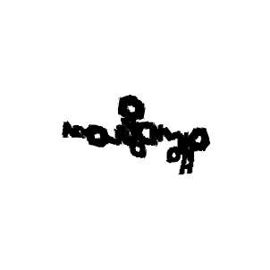 CC(=O)c1ccc(CN2CN(c3ccccc3)C3(CCN(CCCn4c(=O)[nH]c5ccccc54)CC3)C2=O)cc1